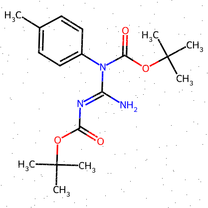 Cc1ccc(N(C(=O)OC(C)(C)C)C(N)=NC(=O)OC(C)(C)C)cc1